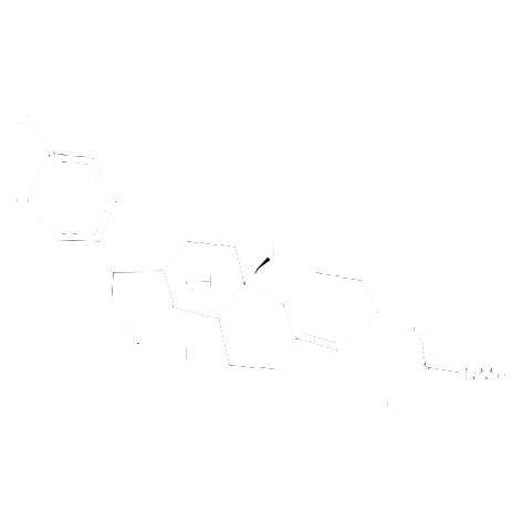 CNC(=O)O[C@@H]1C=C2CC[C@@H]3[C@H](CC[C@]4(C)[C@@H](c5ccc(=O)oc5)CC[C@]34O)[C@@]2(C)CC1